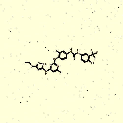 CCOc1cc(Nc2cc(C)nc(Nc3ccc(NC(=O)Nc4ccc(Cl)c(C(F)(F)F)c4)cc3C)n2)[nH]n1